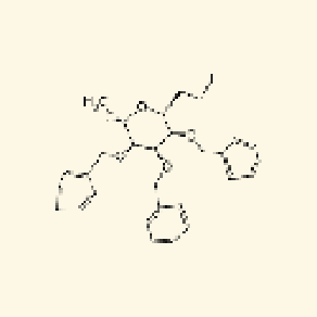 CO[C@H]1O[C@@H](CCI)[C@@H](OCc2ccccc2)[C@@H](OCc2ccccc2)[C@H]1OCc1ccccc1